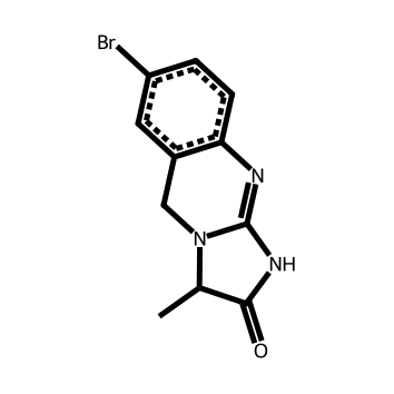 CC1C(=O)NC2=Nc3ccc(Br)cc3CN21